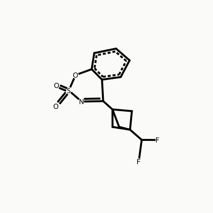 O=S1(=O)N=C(C23CC(C(F)F)(C2)C3)c2ccccc2O1